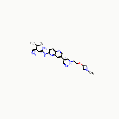 CC(C)C(=C/N)/C=C(\N)Nc1ccc2ncc(/C(C=N)=C/NCCOC3CN(C)C3)cc2n1